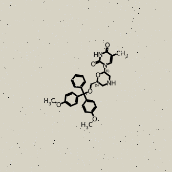 COc1ccc(C(OC[C@@H]2CNC[C@H](n3cc(C)c(=O)[nH]c3=O)O2)(c2ccccc2)c2ccc(OC)cc2)cc1